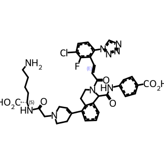 NCCCC[C@H](NC(=O)CN1CC=C(c2cccc3c2CCN(C(=O)/C=C/c2c(-n4cnnn4)ccc(Cl)c2F)C3C(=O)Nc2ccc(C(=O)O)cc2)CC1)C(=O)O